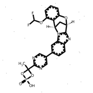 CC1(c2ncc(-c3ccc4nc5n(c4c3)[C@@H]3C[C@H]5Oc4cccc(OC(F)F)c43)cn2)OP(=O)(O)O1